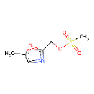 Cc1cnc(COS(C)(=O)=O)o1